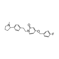 CN1CCCC1c1ccc(CCn2ccc(OCc3ccc(F)cc3)cc2=O)cc1